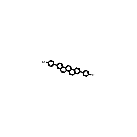 [C-]#[N+]c1ccc(-c2ccc3c(ccc4c3ccc3c5ccc(-c6ccc(C#N)cc6)cc5ccc34)c2)cc1